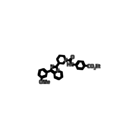 CCOC(=O)c1ccc(NC(=O)N2CCCC(c3nc(-c4cccc(OC)c4)c4ccccn34)C2)cc1